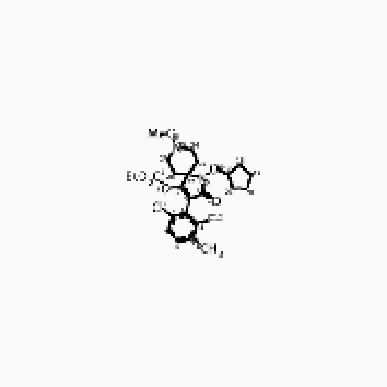 CCOC(=O)OC1=C(c2c(Cl)ccc(C)c2F)C(=O)N(OC2CCCC2)C12CCN(OC)CC2